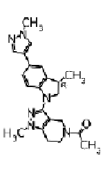 CC(=O)N1CCc2c(c(N3C[C@H](C)c4cc(-c5cnn(C)c5)ccc43)nn2C)C1